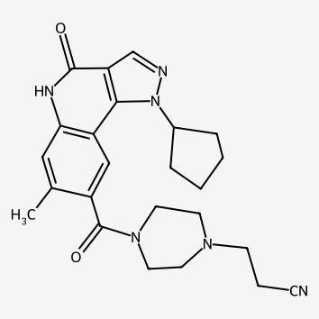 Cc1cc2[nH]c(=O)c3cnn(C4CCCC4)c3c2cc1C(=O)N1CCN(CCC#N)CC1